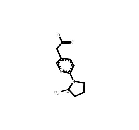 C[C@@H]1CCCN1c1ccc(CC(=O)O)cn1